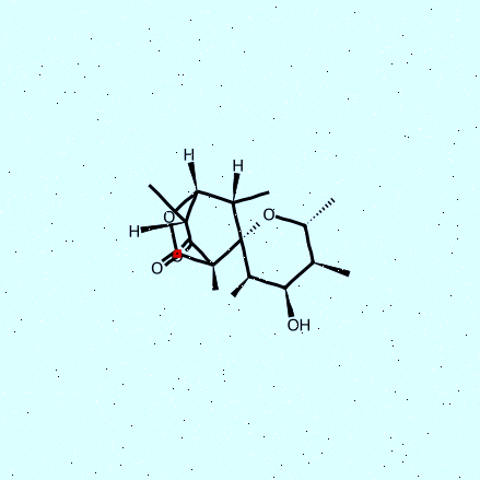 C[C@H]1[C@@H](O)[C@@H](C)[C@]2(O[C@@H]1C)[C@@H](C)[C@H]1OC(=O)[C@]2(C)C(=O)[C@@H]1C